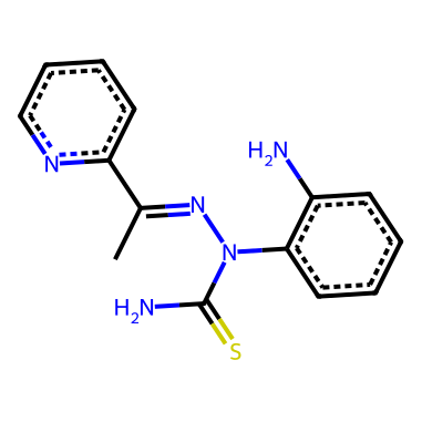 C/C(=N\N(C(N)=S)c1ccccc1N)c1ccccn1